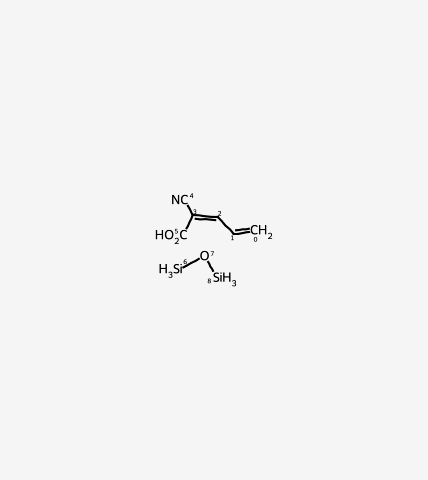 C=CC=C(C#N)C(=O)O.[SiH3]O[SiH3]